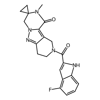 CN1C(=O)c2c3c(nn2CC12CC2)CCN(C(=O)c1cc2c(F)cccc2[nH]1)C3